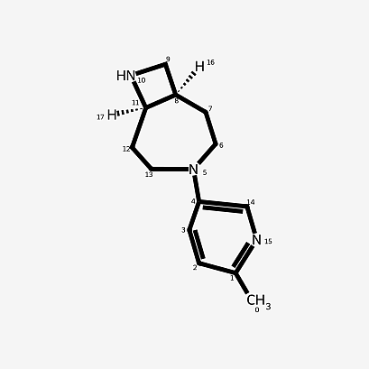 Cc1ccc(N2CC[C@@H]3CN[C@@H]3CC2)cn1